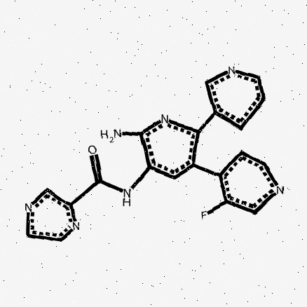 Nc1nc(-c2cccnc2)c(-c2ccncc2F)cc1NC(=O)c1cnccn1